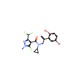 C=C(CN(C(=O)c1c(C(F)F)nn(C)c1F)C1CC1)c1cc(Br)ccc1Br